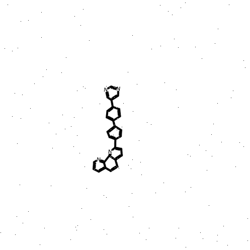 c1cnc2c(c1)ccc1ccc(-c3ccc(-c4ccc(-c5cncnc5)cc4)cc3)nc12